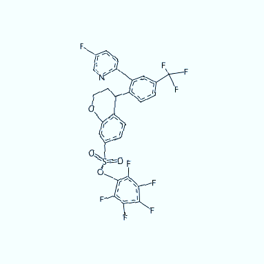 O=S(=O)(Oc1c(F)c(F)c(F)c(F)c1F)c1ccc2c(c1)OCCC2c1ccc(C(F)(F)F)cc1-c1ccc(F)cn1